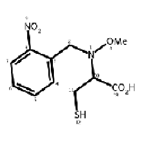 CON(Cc1ccccc1[N+](=O)[O-])C(CS)C(=O)O